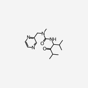 CC(C)C(=O)C(NC(=O)N(C)Cc1cnccn1)C(C)C